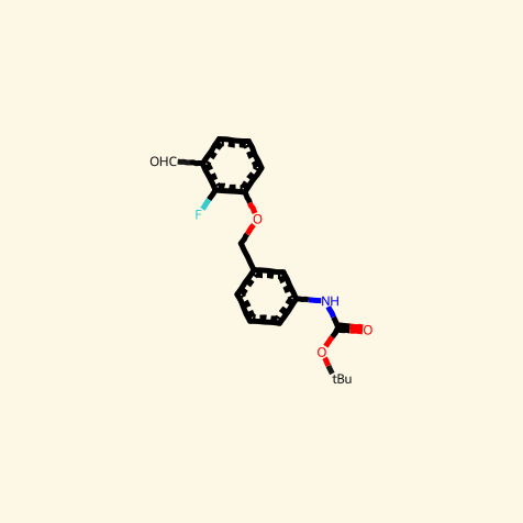 CC(C)(C)OC(=O)Nc1cccc(COc2cccc(C=O)c2F)c1